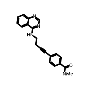 CNC(=O)c1ccc(C#CCCNc2ncnc3ccccc23)cc1